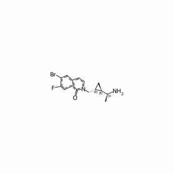 C[C@H](N)[C@@H]1C[C@H]1Cn1ccc2cc(Br)c(F)cc2c1=O